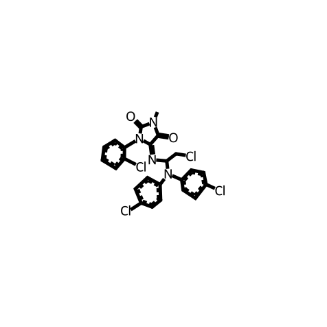 CN1C(=O)/C(=N\C(CCl)N(c2ccc(Cl)cc2)c2ccc(Cl)cc2)N(c2ccccc2Cl)C1=O